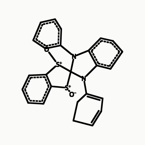 [O-][S+]1c2ccccc2[S+]([O-])C12N(C1=CC=CCC1)c1ccccc1N2c1ccccc1